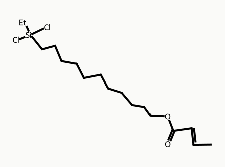 CC=CC(=O)OCCCCCCCCCCC[Si](Cl)(Cl)CC